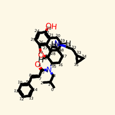 CC(C)CN(C(=O)C=Cc1ccccc1)[C@H]1CC[C@H]2[C@H]3Cc4c(O)ccc5c4[C@@]2(CCN3CC2CC2)[C@H]1O5